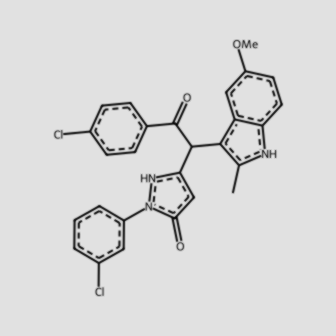 COc1ccc2[nH]c(C)c(C(C(=O)c3ccc(Cl)cc3)c3cc(=O)n(-c4cccc(Cl)c4)[nH]3)c2c1